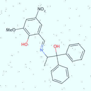 COc1cc([N+](=O)[O-])cc(C=NC(C)C(O)(c2ccccc2)c2ccccc2)c1O